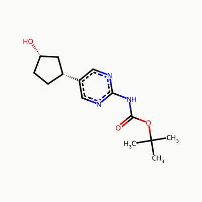 CC(C)(C)OC(=O)Nc1ncc([C@@H]2CC[C@H](O)C2)cn1